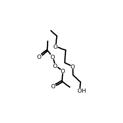 CC(=O)OOOC(C)=O.CCOCCOCCO